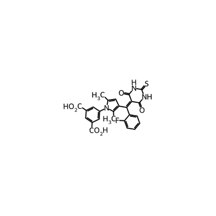 Cc1cc(C(=C2C(=O)NC(=S)NC2=O)c2ccccc2F)c(C)n1-c1cc(C(=O)O)cc(C(=O)O)c1